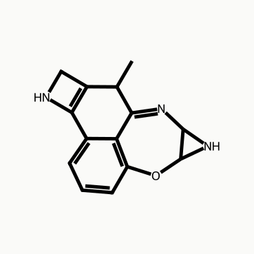 CC1C2=NC3NC3Oc3cccc(c32)C2=C1CN2